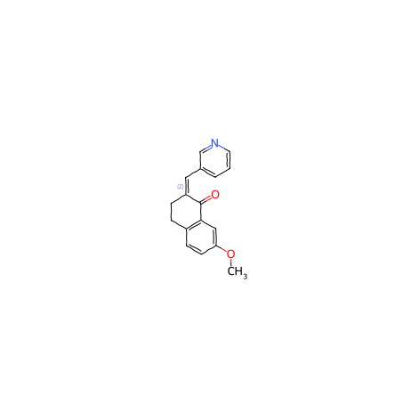 COc1ccc2c(c1)C(=O)/C(=C\c1cccnc1)CC2